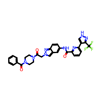 O=C(Nc1ccc2nn(CC(=O)N3CCN(C(=O)c4ccccc4)CC3)cc2c1)c1cccc(-c2c[nH]nc2C(F)(F)F)n1